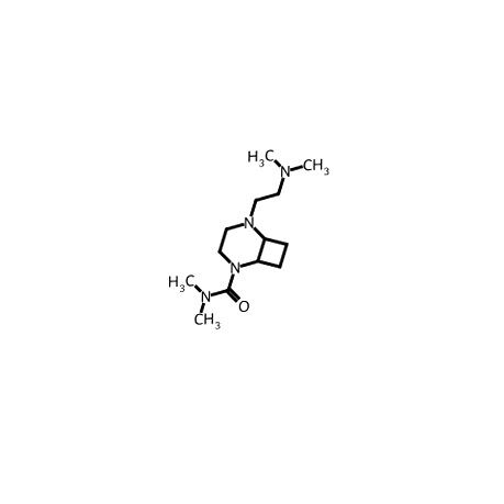 CN(C)CCN1CCN(C(=O)N(C)C)C2CCC21